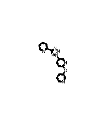 c1ccc(-c2nnn(-c3ccc(Oc4cccnc4)nc3)n2)nc1